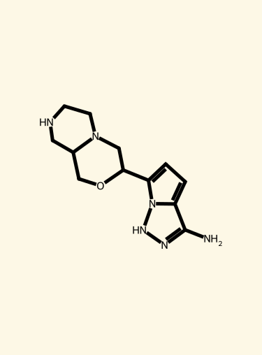 Nc1n[nH]n2c(C3CN4CCNCC4CO3)ccc12